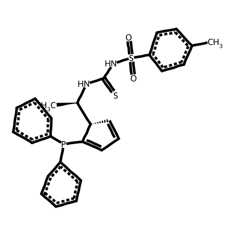 Cc1ccc(S(=O)(=O)NC(=S)N[C@H](C)[C@@H]2C=CC=C2P(c2ccccc2)c2ccccc2)cc1